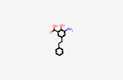 Nc1cc(CCc2ccccc2)cc(C(=O)O)c1O